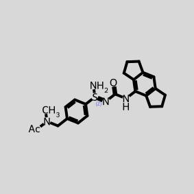 CC(=O)N(C)Cc1ccc(/S(N)=N/C(=O)Nc2c3c(cc4c2CCC4)CCC3)cc1